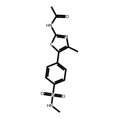 CNS(=O)(=O)c1ccc(-c2sc(NC(C)=O)nc2C)cc1